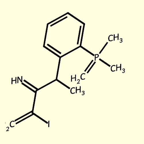 C=C(I)C(=N)C(C)c1ccccc1P(=C)(C)C